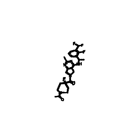 CC(=O)N1CCC(F)(C(=O)N2Cc3nc(C)nc(NC(C)c4cccc(C(F)F)c4F)c3C2)CC1